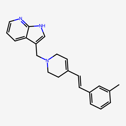 Cc1cccc(C=CC2=CCN(Cc3c[nH]c4ncccc34)CC2)c1